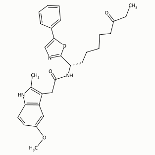 CCC(=O)CCCCC[C@H](NC(=O)Cc1c(C)[nH]c2ccc(OC)cc12)c1ncc(-c2ccccc2)o1